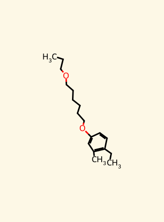 CCCOCCCCCCOc1ccc(CC)c(C)c1